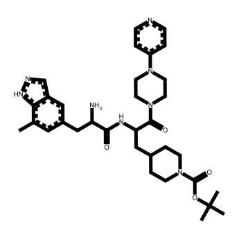 Cc1cc(CC(N)C(=O)NC(CC2CCN(C(=O)OC(C)(C)C)CC2)C(=O)N2CCN(c3ccncc3)CC2)cc2cn[nH]c12